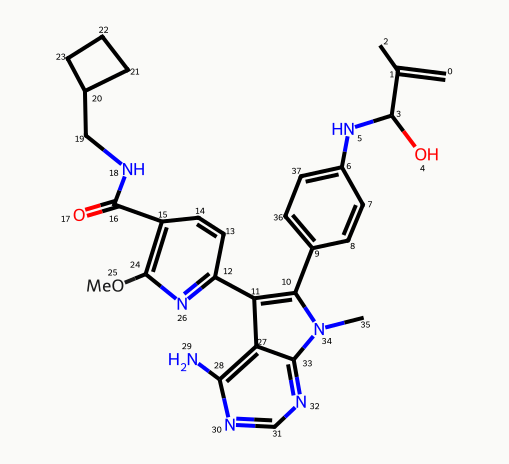 C=C(C)C(O)Nc1ccc(-c2c(-c3ccc(C(=O)NCC4CCC4)c(OC)n3)c3c(N)ncnc3n2C)cc1